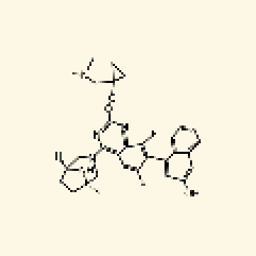 CN(C)CC1(COc2nc(N3C[C@H]4CC[C@](C)(C3)N4)c3cc(F)c(-c4cc(O)cc5ccccc45)c(F)c3n2)CC1